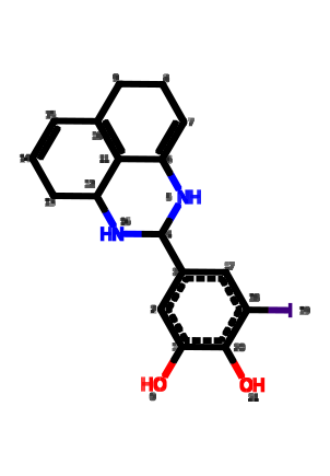 Oc1cc(C2NC3=CCCC4=C3C(CC=C4)N2)cc(I)c1O